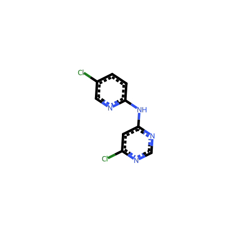 Clc1ccc(Nc2cc(Cl)ncn2)nc1